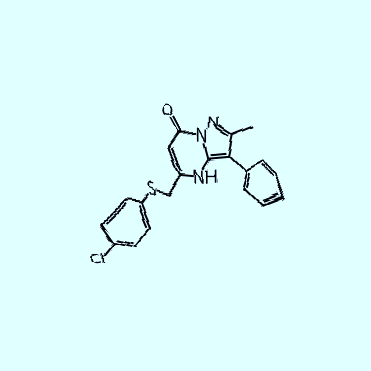 Cc1nn2c(=O)cc(CSc3ccc(Cl)cc3)[nH]c2c1-c1ccccc1